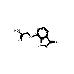 O=C(O)COc1cccc2c1OCC2=O